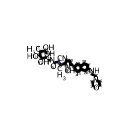 C/C(=C(/C#N)C(=O)NC[C@H]1OC(O)[C@H](C)[C@@H](O)[C@@H]1O)c1ccc(-c2ccc3cc(NCCN4CCOCC4)ccc3c2)n1C